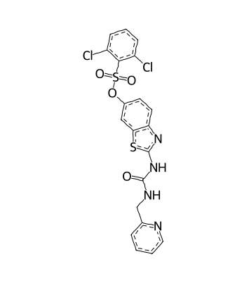 O=C(NCc1ccccn1)Nc1nc2ccc(OS(=O)(=O)c3c(Cl)cccc3Cl)cc2s1